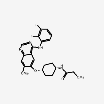 COCC(=O)N[C@H]1CC[C@H](Oc2cc3c(Nc4cccc(Cl)c4F)ncnc3cc2OC)CC1